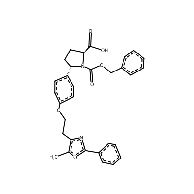 Cc1oc(-c2ccccc2)nc1CCOc1ccc([C@@H]2CC[C@@H](C(=O)O)N2C(=O)OCc2ccccc2)cc1